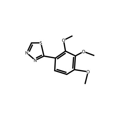 COc1ccc(-c2nncs2)c(OC)c1OC